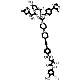 Cc1cc([C@H](C(=O)N2C[C@H](O)C[C@H]2C(=O)N[C@@H](CC(=O)N2CCC(N3CCC(C#Cc4ccc(S(=O)(=O)CC(C)(O)C(=O)Nc5ccc(C#N)c(C(F)(F)F)c5)cc4)CC3)CC2)c2ccc(-c3scnc3C)cc2)C(C)C)on1